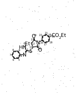 CCN/C(=N\c1ccccc1)SC1CC(=O)N(c2ccc(C(=O)OCC)cc2)C1=O